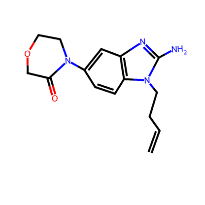 C=CCCn1c(N)nc2cc(N3CCOCC3=O)ccc21